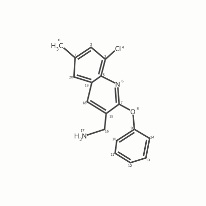 Cc1cc(Cl)c2nc(Oc3ccccc3)c(CN)cc2c1